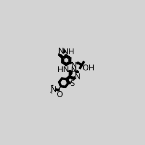 CN(C)C(=O)[C@H]1CCc2c(sc3ncnc(Nc4cc5cn[nH]c5cc4NCC(C)(C)O)c23)C1